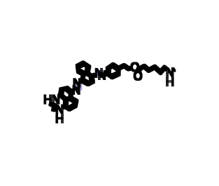 CNCCCCCC(=O)OCCc1ccc(/N=N/c2ccc(/N=N/c3ccc4c5c(cccc35)NC(C)(C)N4)c3ccccc23)cc1